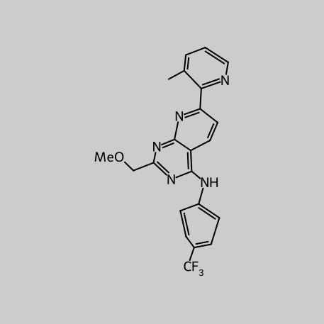 COCc1nc(Nc2ccc(C(F)(F)F)cc2)c2ccc(-c3ncccc3C)nc2n1